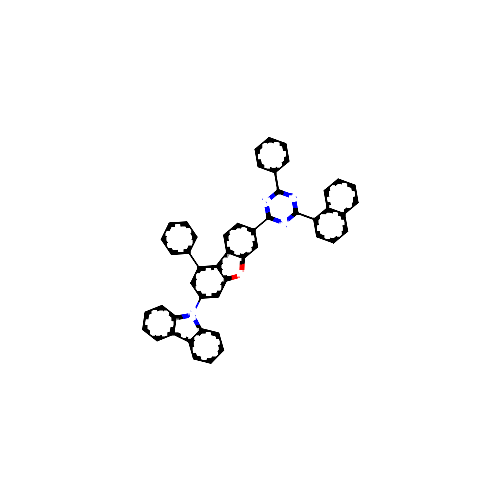 c1ccc(-c2nc(-c3ccc4c(c3)oc3cc(-n5c6ccccc6c6ccccc65)cc(-c5ccccc5)c34)nc(-c3cccc4ccccc34)n2)cc1